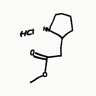 COC(=O)CC1CCCN1.Cl